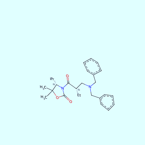 CC[C@@H](CN(Cc1ccccc1)Cc1ccccc1)C(=O)N1C(=O)OC(C)(C)[C@@H]1C(C)C